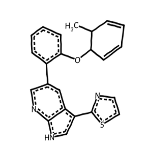 CC1C=CC=CC1Oc1ccccc1-c1cnc2[nH]cc(-c3nccs3)c2c1